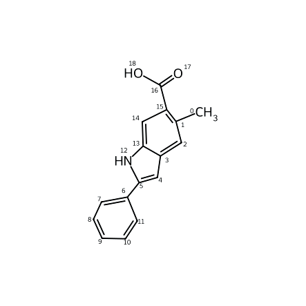 Cc1cc2cc(-c3ccccc3)[nH]c2cc1C(=O)O